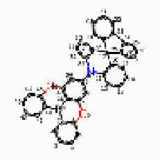 c1ccc2c(c1)Oc1cc(N3c4ccccc4C4(c5ccccc5-c5ccccc54)c4ccccc43)cc3c1B2c1ccccc1O3